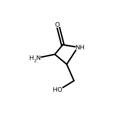 NC1C(=O)NC1CO